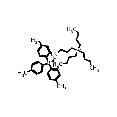 CCCC[P+](CCCC)(CCCC)CCCC.Cc1ccc([B-](C)(c2ccc(C)cc2)c2ccc(C)cc2)cc1